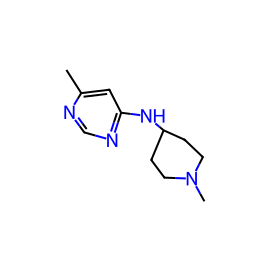 Cc1cc(NC2CCN(C)CC2)ncn1